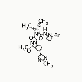 COC[C@]12C[C@@H](C(=O)Nc3cccc(Br)n3)N(C(=O)Cn3nc(C(C)=O)c4cc(-c5cnc(C)nc5)ccc43)C1[C@H]2C